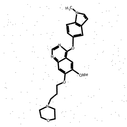 COc1cc2c(Oc3ccc4c(ccn4C)c3)ncnc2cc1OCCCN1CCOCC1